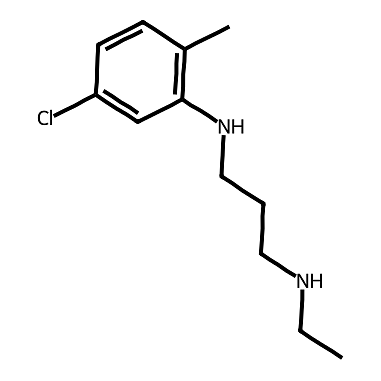 CCNCCCNc1cc(Cl)ccc1C